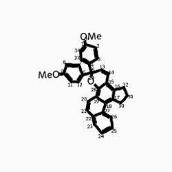 COc1ccc(C2(c3ccc(OC)cc3)C=Cc3c4c(c5c(ccc6ccccc65)c3O2)CCC4)cc1